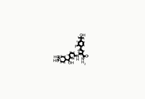 CC(C)(O)c1ccc(-c2cc(C(N)=O)c(Nc3cccc(C(O)C4CCS(O)(O)CC4)n3)s2)c(F)c1